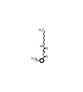 CCCCCCCCNC(=O)C=CSC(=O)c1cccc(OC)c1